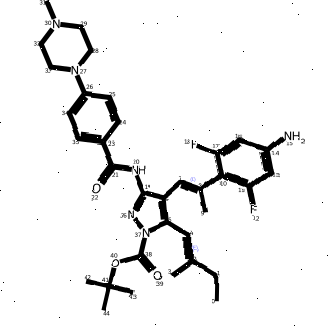 CC/C(C)=C/c1c(/C=C(\C)c2c(F)cc(N)cc2F)c(NC(=O)c2ccc(N3CCN(C)CC3)cc2)nn1C(=O)OC(C)(C)C